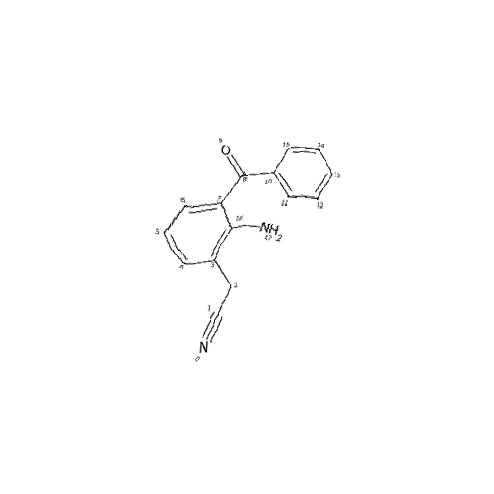 N#CCc1cccc(C(=O)c2ccccc2)c1N